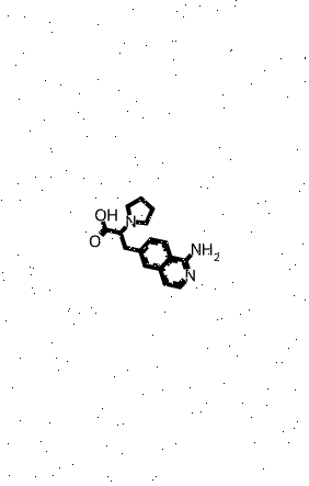 Nc1nccc2cc(CC(C(=O)O)N3CCCC3)ccc12